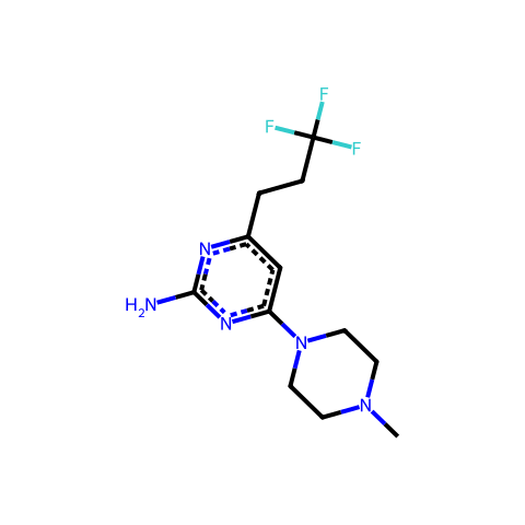 CN1CCN(c2cc(CCC(F)(F)F)nc(N)n2)CC1